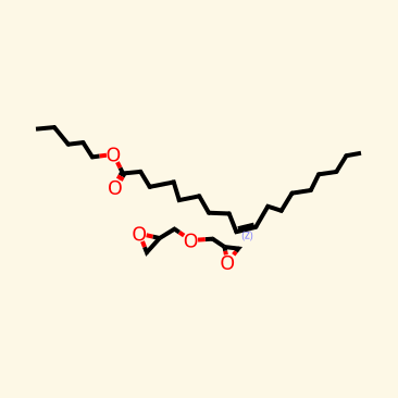 C(OCC1CO1)C1CO1.CCCCCCCC/C=C\CCCCCCCC(=O)OCCCCC